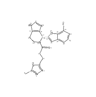 Cc1nnc(CCC(=O)N2CCc3[nH]cnc3[C@@H]2c2cc3cccc(F)c3o2)s1